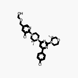 C[C@@H]1CN(c2ncc(COCO)cc2Cl)CCN1c1cc(-c2ccc(Cl)cc2)nc(N2CCOC[C@H]2C)n1